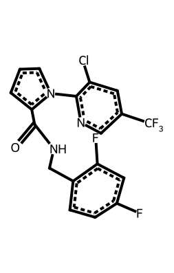 O=C(NCc1ccc(F)cc1F)c1cccn1-c1ncc(C(F)(F)F)cc1Cl